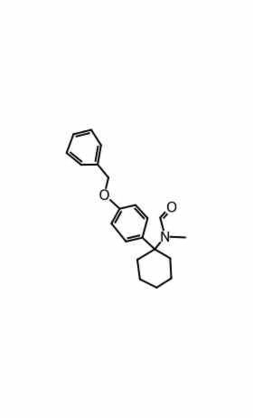 CN(C=O)C1(c2ccc(OCc3ccccc3)cc2)CCCCC1